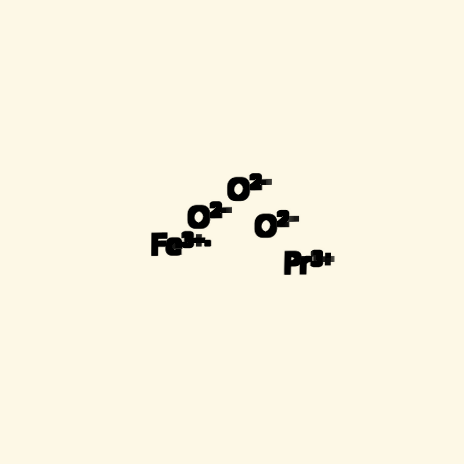 [Fe+3].[O-2].[O-2].[O-2].[Pr+3]